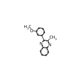 COc1cccc(-c2nc3ccccc3nc2C)c1